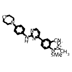 CSN(c1ccc(-c2ccnc(Nc3ccc(N4CCOCC4)cc3)n2)cc1C#N)[S+](C)[O-]